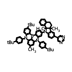 Cc1cc2c3c(c1)N(c1ccc(C(C)(C)C)cc1)c1cc(N4c5ccc(-c6cncnc6)cc5C5(C)CCc6ccccc6C45C)ccc1B3c1cc(C(C)(C)C)ccc1N2c1ccc(C(C)(C)C)cc1